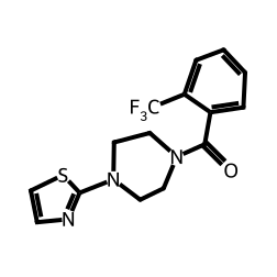 O=C(c1ccccc1C(F)(F)F)N1CCN(c2nccs2)CC1